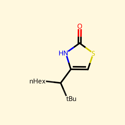 CCCCCCC(c1csc(=O)[nH]1)C(C)(C)C